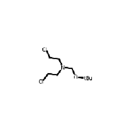 CC(C)(C)OCN(CCCl)CCCl